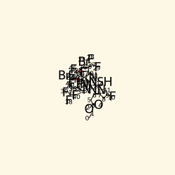 CCOC(=O)CC1=C2CC(F)CN2C(S)(n2cc3c(C(F)(F)F)cc(Br)c(C(F)F)c3n2)N1n1cc2c(C(F)(F)F)cc(Br)c(C(F)F)c2n1